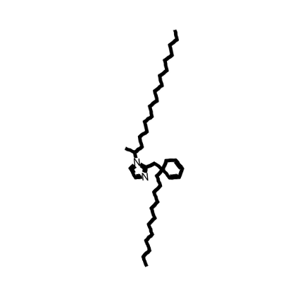 CCCCCCCCCCCCCCCCC(C)n1ccnc1CC1(CCCCCCCCCCCC)C=CC=CC1